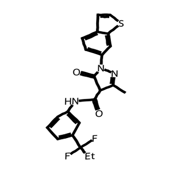 CCC(F)(F)c1cccc(NC(=O)C2C(=O)N(c3ccc4ccsc4c3)N=C2C)c1